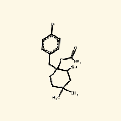 CC1(C)CCC(Cc2ccc(Br)cc2)(OC(N)=O)C(C(C)(C)C)C1